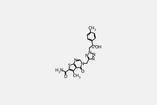 Cc1ccc([C@@H](O)Cn2nnc(Cn3cnc4sc(C(N)=O)c(C)c4c3=O)n2)cc1